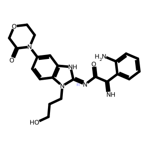 N=C(C(=O)/N=c1\[nH]c2cc(N3CCOCC3=O)ccc2n1CCCO)c1ccccc1N